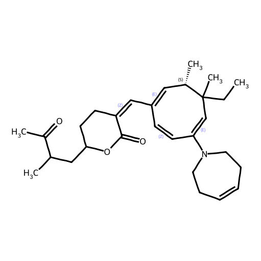 CCC1(C)\C=C(N2CCC=CCC2)/C=C\C(\C=C2\CCC(CC(C)C(C)=O)OC2=O)=C/[C@@H]1C